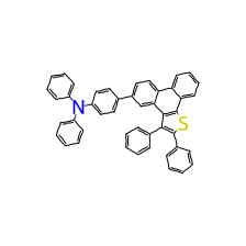 c1ccc(-c2sc3c4ccccc4c4ccc(-c5ccc(N(c6ccccc6)c6ccccc6)cc5)cc4c3c2-c2ccccc2)cc1